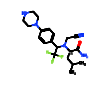 CC(C)C[C@@H](C(N)=O)N(CC#N)C(c1ccc(N2CCNCC2)cc1)C(F)(F)F